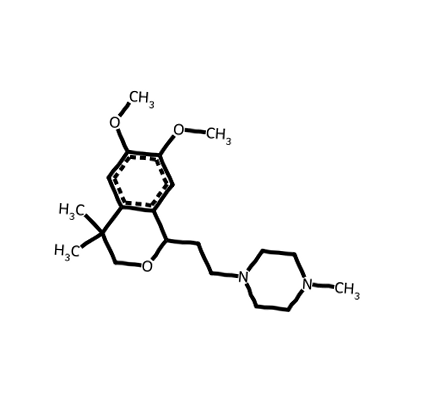 COc1cc2c(cc1OC)C(C)(C)COC2CCN1CCN(C)CC1